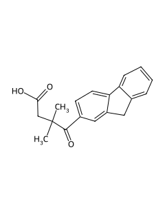 CC(C)(CC(=O)O)C(=O)c1ccc2c(c1)Cc1ccccc1-2